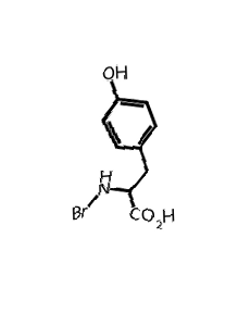 O=C(O)C(Cc1ccc(O)cc1)NBr